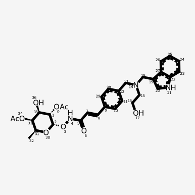 CC(=O)O[C@@H]1[C@H](ONC(=O)/C=C/c2ccc(CN(CCO)Cc3c[nH]c4ccccc34)cc2)O[C@@H](C)[C@@H](OC(C)=O)[C@H]1O